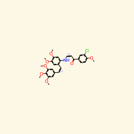 COc1ccc(C(=O)/C=C\Nc2cc(OC)c(OC)cc2/C=C\c2cc(OC)c(OC)c(OC)c2)cc1Cl